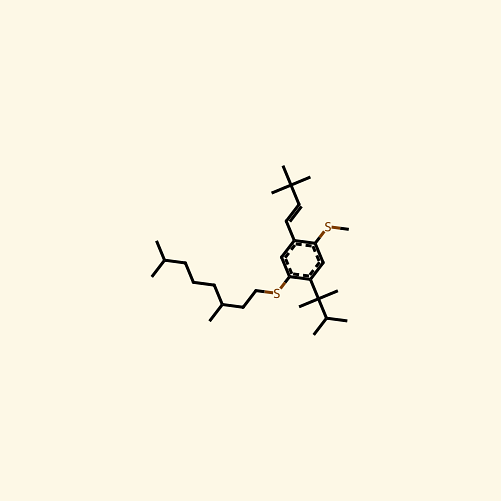 CSc1cc(C(C)(C)C(C)C)c(SCCC(C)CCCC(C)C)cc1/C=C/C(C)(C)C